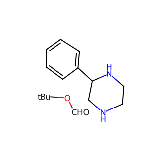 CC(C)(C)OC=O.c1ccc(C2CNCCN2)cc1